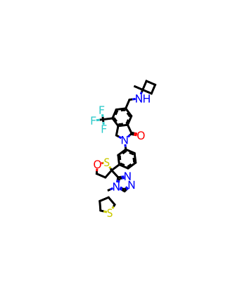 C1CCSC1.Cn1cnnc1C1(c2cccc(N3Cc4c(cc(CNC5(C)CCC5)cc4C(F)(F)F)C3=O)c2)CCOS1